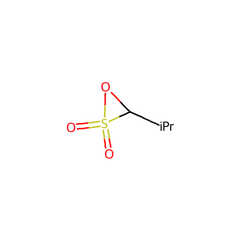 CC(C)C1OS1(=O)=O